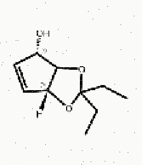 CCC1(CC)OC2[C@@H](O)C=C[C@H]2O1